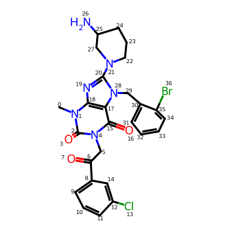 Cn1c(=O)n(CC(=O)c2cccc(Cl)c2)c(=O)c2c1nc(N1CCCC(N)C1)n2Cc1ccccc1Br